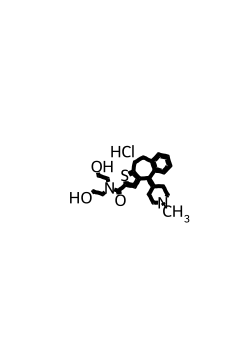 CN1CCC(=C2c3ccccc3CCc3sc(C(=O)N(CCO)CCO)cc32)CC1.Cl